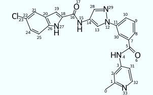 Cc1cc(NC(=O)c2cccc(-n3cc(NC(=O)c4cc5cc(Cl)ccc5[nH]4)cn3)c2)ccn1